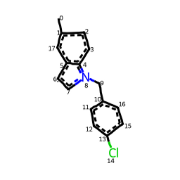 Cc1ccc2c([c]cn2Cc2ccc(Cl)cc2)c1